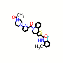 CC(=O)N1CCCN(c2cccc(C(=O)N3CCc4cc(C(=O)Nc5c(C)cccc5F)sc4-c4ccccc43)n2)CC1